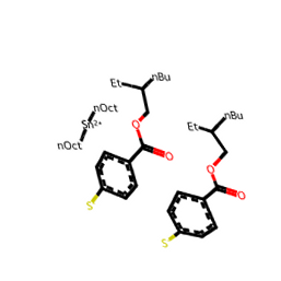 CCCCC(CC)COC(=O)c1ccc([S-])cc1.CCCCC(CC)COC(=O)c1ccc([S-])cc1.CCCCCCC[CH2][Sn+2][CH2]CCCCCCC